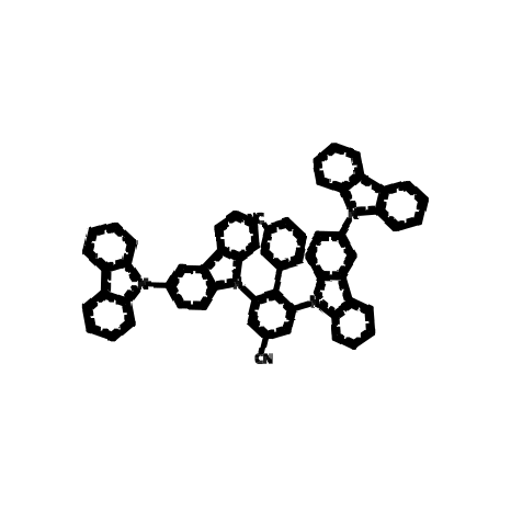 N#Cc1cccc(-c2c(-n3c4ccccc4c4cc(-n5c6ccccc6c6ccccc65)ccc43)cc(C#N)cc2-n2c3ccccc3c3cc(-n4c5ccccc5c5ccccc54)ccc32)c1